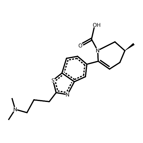 C[C@H]1CC=C(c2ccc3sc(CCCN(C)C)nc3c2)N(C(=O)O)C1